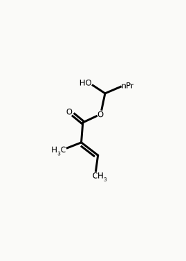 CC=C(C)C(=O)OC(O)CCC